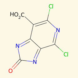 O=C1N=c2c(Cl)nc(Cl)c(C(=O)O)c2=N1